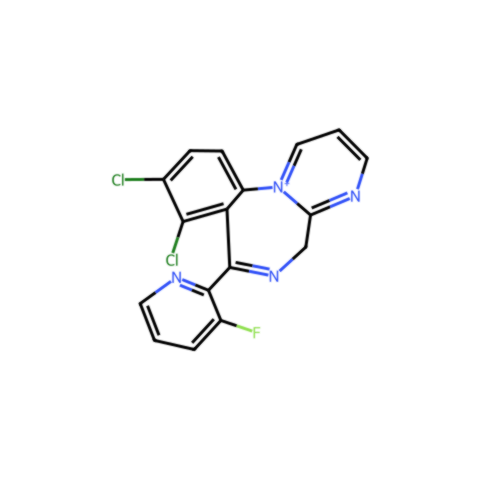 Fc1cccnc1C1=NCc2nccc[n+]2-c2ccc(Cl)c(Cl)c21